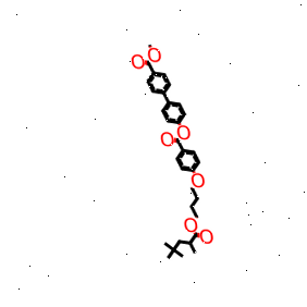 COC(=O)c1ccc(-c2ccc(OC(=O)c3ccc(OCCCCOC(=O)C(C)CC(C)(C)C)cc3)cc2)cc1